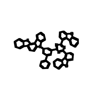 c1ccc(-c2cc(-c3nc(-c4cccc5oc6ccccc6c45)nc(-c4cccc5oc6ccccc6c45)n3)cc(-n3c4ccccc4c4c5sc6ccccc6c5ccc43)c2)cc1